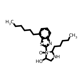 CCCCCCc1cccc2nc([N+]3([O-])C(O)CNC3CCCCC)sc12